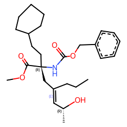 CCC/C(=C\[C@@H](C)O)C[C@@](CCC1CCCCC1)(NC(=O)OCc1ccccc1)C(=O)OC